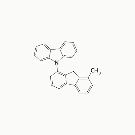 Cc1cccc2c1Cc1c-2cccc1-n1c2ccccc2c2ccccc21